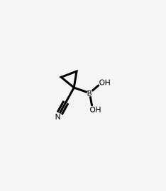 N#CC1(B(O)O)CC1